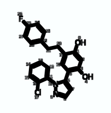 Oc1cc(O)c(-c2ccnn2-c2ccccc2Cl)cc1CCc1ccc(F)cc1